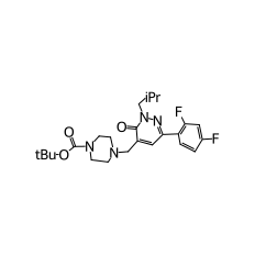 CC(C)Cn1nc(-c2ccc(F)cc2F)cc(CN2CCN(C(=O)OC(C)(C)C)CC2)c1=O